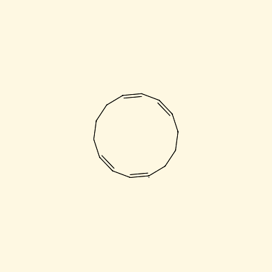 [C]1=CC=CCCCC=CC=CCCC1